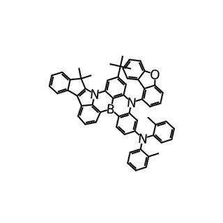 Cc1ccccc1N(c1ccc2c(c1)N(c1cccc3oc4ccccc4c13)c1cc(C(C)(C)C)cc3c1B2c1cccc2c4c(n-3c12)C(C)(C)c1ccccc1-4)c1ccccc1C